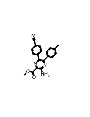 COC(=O)c1nc(-c2ccc(C#N)cc2)c(-c2ccc(C)cc2)nc1N